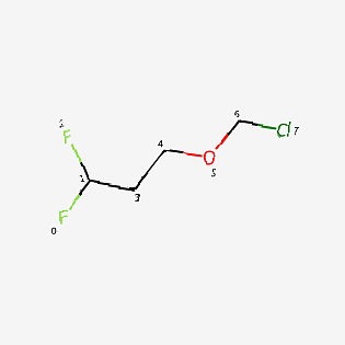 FC(F)CCOCCl